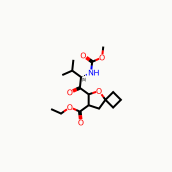 CCOC(=O)C1CC2(CCC2)OC1C(=O)[C@@H](NC(=O)OC)C(C)C